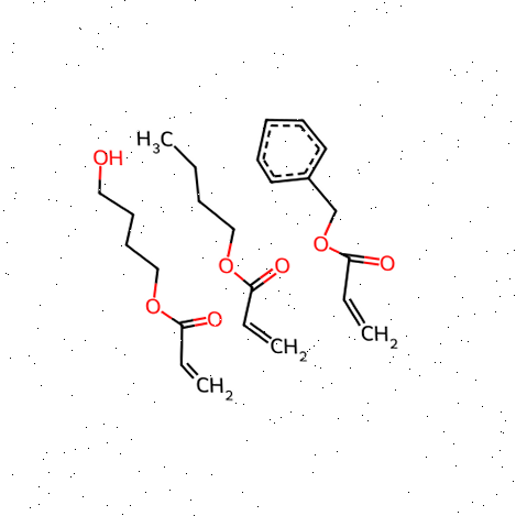 C=CC(=O)OCCCC.C=CC(=O)OCCCCO.C=CC(=O)OCc1ccccc1